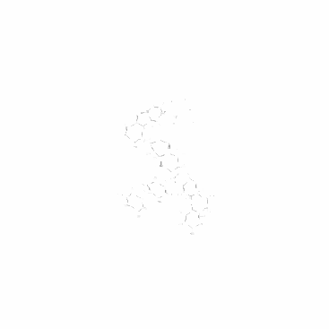 CC1(C)CCC(C)(C)c2cc3c(cc21)oc1cccc(-c2ccc4ccc(N(c5ccc(-c6ccccc6)cc5)c5ccc6ccc7ccccc7c6c5)cc4c2)c13